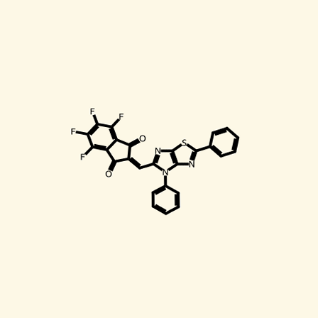 O=C1C(=Cc2nc3sc(-c4ccccc4)nc3n2-c2ccccc2)C(=O)c2c(F)c(F)c(F)c(F)c21